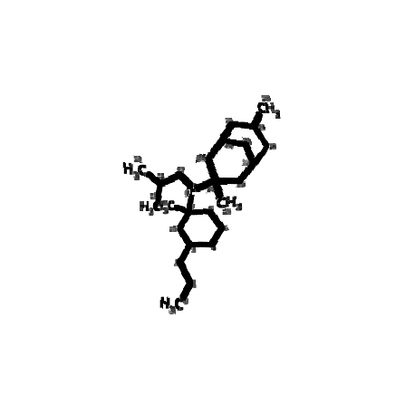 CCCC1CCCC(C)(P(CC(C)C)C2(C)CC3CC(C)CC(C3)C2)C1